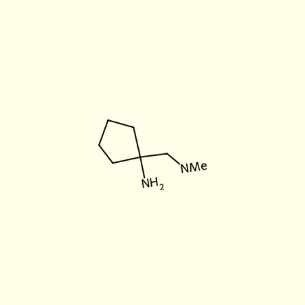 CNCC1(N)CCCC1